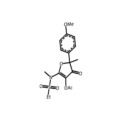 CCS(=O)(=O)N(C)C1=C(OC(C)=O)C(=O)C(C)(c2ccc(OC)cc2)O1